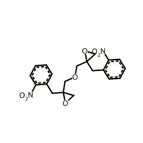 O=[N+]([O-])c1ccccc1CC1(COCC2(Cc3ccccc3[N+](=O)[O-])CO2)CO1